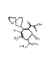 CC1=C(Br)C(N2CCCC3(CCCC3)C2)=C(C(=O)C(=O)O)C(C)N1C(C)C